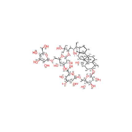 C[C@H](C(O)C[C@@H](O[C@@H]1O[C@H](CO[C@@H]2O[C@H](CO)[C@@H](O)[C@H](O)[C@H]2O)[C@@H](O)[C@H](O)[C@H]1O)C(C)(C)O)C1CC[C@@]2(C)[C@@H]3CC=C4[C@@H](C)[C@@H](O[C@@H]5O[C@H](CO[C@@H]6O[C@H](CO)[C@@H](O)[C@H](O)[C@H]6O)[C@@H](O)[C@H](O)[C@H]5O)CC[C@H]4[C@]3(C)[C@H](O)C[C@]12C